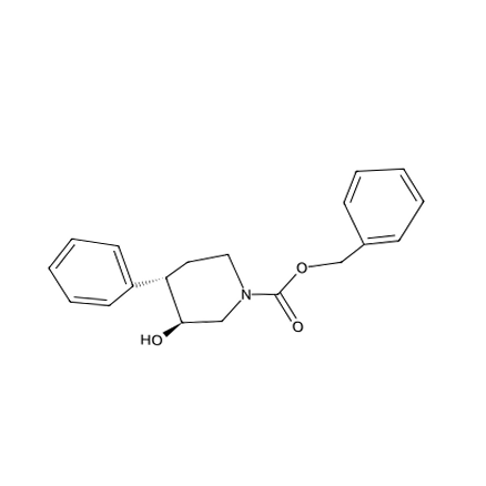 O=C(OCc1ccccc1)N1CC[C@@H](c2ccccc2)[C@H](O)C1